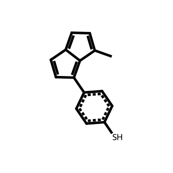 CC1=CC=C2C=CC(c3ccc(S)cc3)=C12